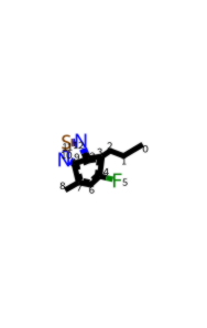 CCCc1c(F)cc(C)c2nsnc12